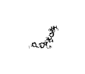 N#Cc1c(NC(=O)CC2C=CC(S(N)(=O)=O)=CC2)sc2c1CCN(CC1CCC[C@@H](F)C1)CC2